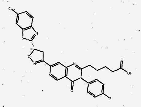 O=C(O)CCCCc1nc2cc(C3=NO[C@H](c4nc5ccc(Cl)cc5s4)C3)ccc2c(=O)n1-c1ccc(F)cc1